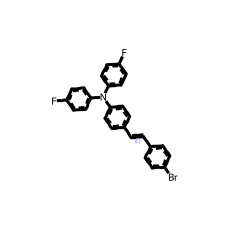 Fc1ccc(N(c2ccc(F)cc2)c2ccc(/C=C/c3ccc(Br)cc3)cc2)cc1